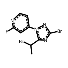 CC(Br)c1nc(Br)nn1-c1ccnc(F)c1